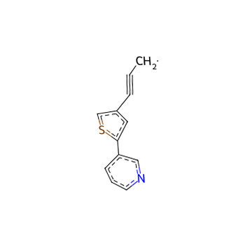 [CH2]C#Cc1csc(-c2cccnc2)c1